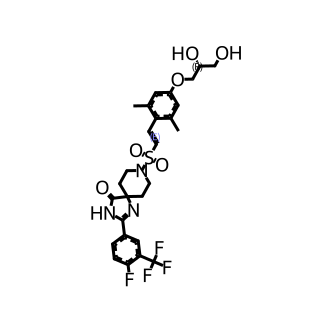 Cc1cc(OC[C@H](O)CO)cc(C)c1/C=C/S(=O)(=O)N1CCC2(CC1)N=C(c1ccc(F)c(C(F)(F)F)c1)NC2=O